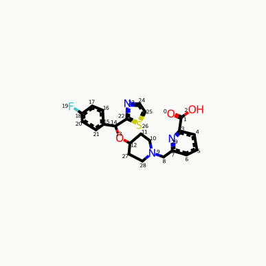 O=C(O)c1cccc(CN2CCC(OC(c3ccc(F)cc3)c3nccs3)CC2)n1